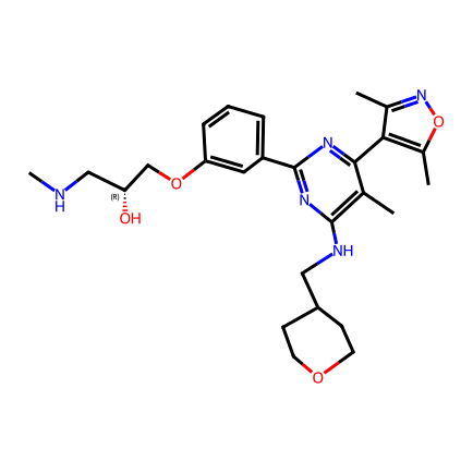 CNC[C@@H](O)COc1cccc(-c2nc(NCC3CCOCC3)c(C)c(-c3c(C)noc3C)n2)c1